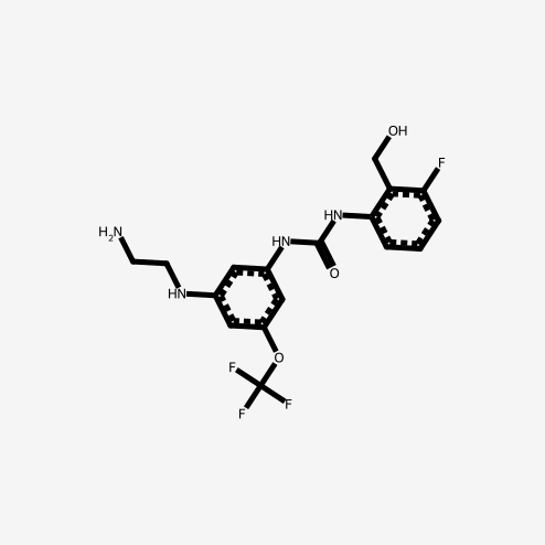 NCCNc1cc(NC(=O)Nc2cccc(F)c2CO)cc(OC(F)(F)F)c1